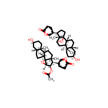 CC(=O)O[C@H]1[C@H]2O[C@]23[C@@H]2CC[C@@H]4C[C@@H](O)CC[C@]4(C)[C@H]2CC[C@]3(C)[C@H]1c1ccc(=O)oc1.C[C@]12CC[C@H](O)C[C@H]1CC[C@@H]1[C@@H]2CC[C@]2(C)[C@@H](c3ccc(=O)oc3)CC[C@]12O